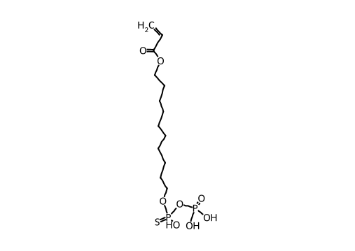 C=CC(=O)OCCCCCCCCCCOP(O)(=S)OP(=O)(O)O